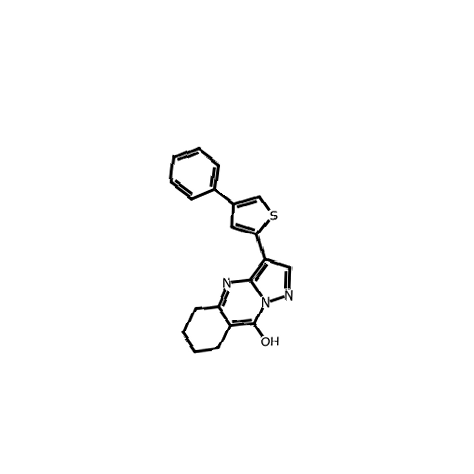 Oc1c2c(nc3c(-c4cc(-c5ccccc5)cs4)cnn13)CCCC2